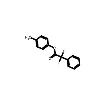 Cc1ccc(OC(=O)C(F)(F)c2ccccc2)cc1